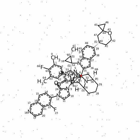 Cc1cc(-n2nc3c(c2-n2ccn(-c4ccc5cnccc5c4F)c2=O)[C@@H]2CCC[C@H](C3)N2C(=O)c2cc3cc([C@H]4CCOC5(CC5)C4)ccc3n2[C@@]2(c3noc(=O)[nH]3)C[C@@H]2C)cc(C)c1F